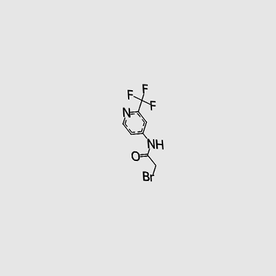 O=C(CBr)Nc1ccnc(C(F)(F)F)c1